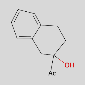 CC(=O)C1(O)CCc2ccccc2C1